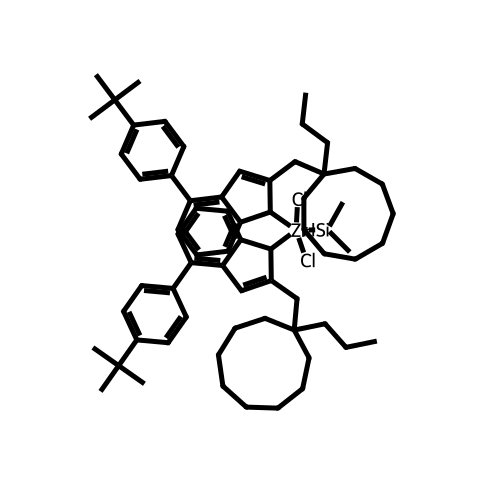 CCCC1(CC2=Cc3c(-c4ccc(C(C)(C)C)cc4)cccc3[CH]2[Zr]([Cl])([Cl])([CH]2C(CC3(CCC)CCCCCCCC3)=Cc3c(-c4ccc(C(C)(C)C)cc4)cccc32)[SiH](C)C)CCCCCCCC1